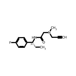 C#CCN(C)CC(=O)N[C@H](CC)c1ccc(F)cc1